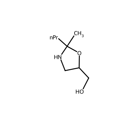 CCCC1(C)NCC(CO)O1